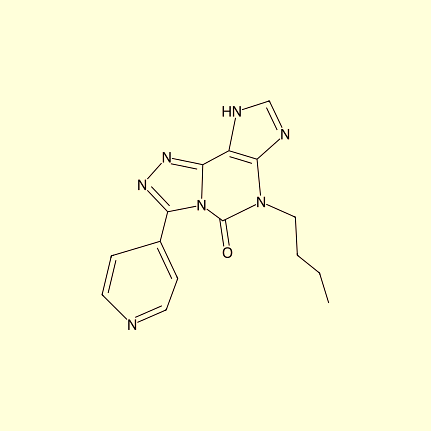 CCCCn1c(=O)n2c(-c3ccncc3)nnc2c2[nH]cnc21